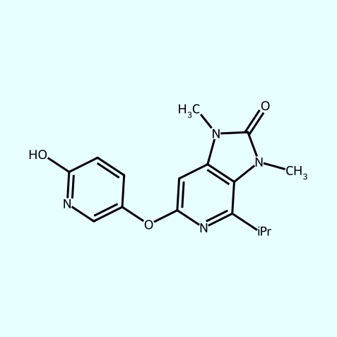 CC(C)c1nc(Oc2ccc(O)nc2)cc2c1n(C)c(=O)n2C